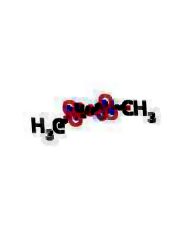 CCCCCCCN1C(=O)C2=C3C(=C(c4ccc(-c5ccc6c7c(cccc57)C(=O)N(CCCCCCC)C6=O)cc4)CC2)/C=C\CC/C=C/3C1=O